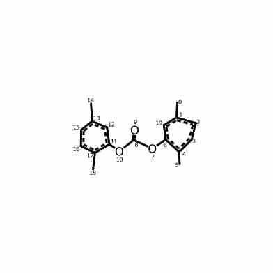 Cc1ccc(C)c(OC(=O)Oc2cc(C)ccc2C)c1